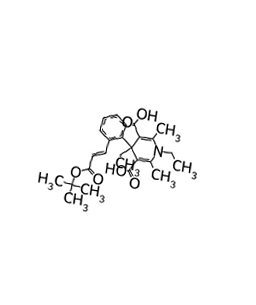 CCN1C(C)=C(C(=O)O)C(CC)(c2ccccc2C=CC(=O)OC(C)(C)C)C(C(=O)O)=C1C